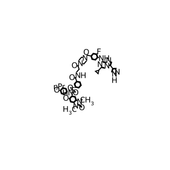 CCCOc1cccc(Oc2cc3c(cc2NS(=O)(=O)c2cccc(C(=O)NCCC(=O)N4CCN(C(=O)c5ccc(Nc6nc(C7CC7)cn7c(-c8cn[nH]c8)cnc67)c(F)c5)CC4)c2)n(C)c(=O)n3C)c1